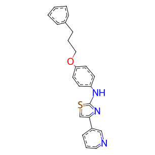 c1ccc(CCCOc2ccc(Nc3nc(-c4cccnc4)cs3)cc2)cc1